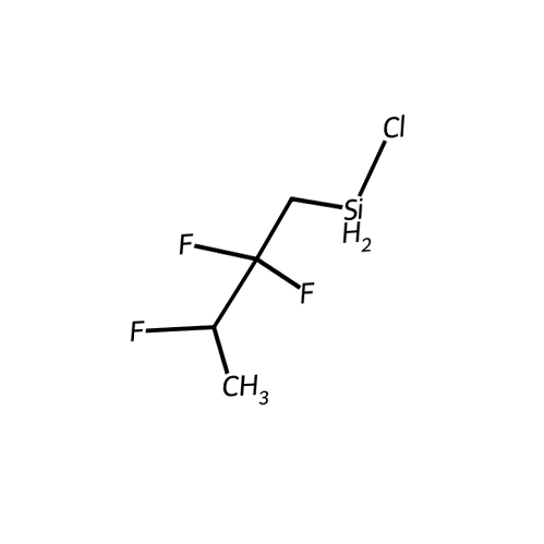 CC(F)C(F)(F)C[SiH2]Cl